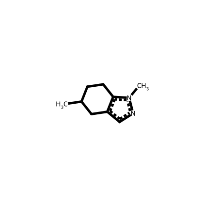 CC1CCc2c(cnn2C)C1